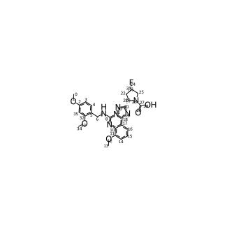 COc1ccc(CNc2nc3c(OC)cccc3c3nc([C@@H]4C[C@H](F)CN4C(=O)O)nn23)c(OC)c1